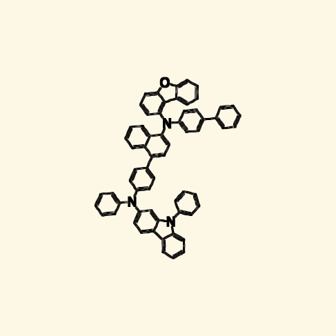 c1ccc(-c2ccc(N(c3ccc(-c4ccc(N(c5ccccc5)c5ccc6c7ccccc7n(-c7ccccc7)c6c5)cc4)c4ccccc34)c3cccc4oc5ccccc5c34)cc2)cc1